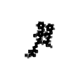 CC(=O)NC(=O)CCCCCC[C@@H]1[C@@H](/C=C/[C@H](CCC=C(C)C)OC2CCCCO2)[C@H](OC2CCCCO2)C[C@H]1Cl